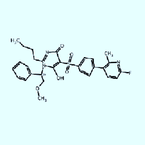 CCCCc1nc(=O)c(S(=O)(=O)c2ccc(-c3ccc(F)nc3C)cc2)c(O)n1[C@@H](COC)c1ccccc1